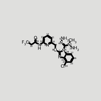 CN(N)/C(=N\N)n1c(OCc2cccc(NC(=O)CC(F)(F)F)n2)nc2c(Cl)cccc21